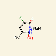 N#Cc1cc(F)c(=O)[nH]c1O.[NaH]